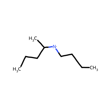 CCCC[N]C(C)CCC